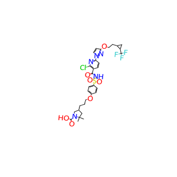 CC1(C)CC(CCCOc2ccc(S(=O)(=O)NC(=O)c3ccc(-n4ccc(OCCC5CC5C(F)(F)F)n4)nc3Cl)cc2)CN1C(=O)O